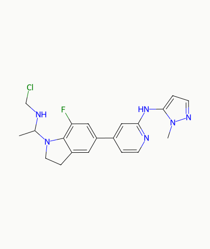 CC(NCCl)N1CCc2cc(-c3ccnc(Nc4ccnn4C)c3)cc(F)c21